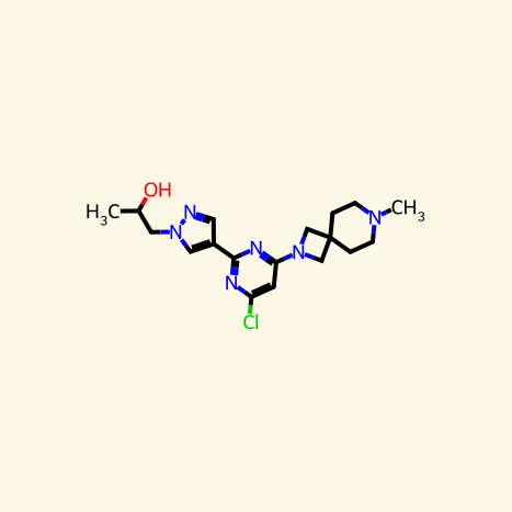 CC(O)Cn1cc(-c2nc(Cl)cc(N3CC4(CCN(C)CC4)C3)n2)cn1